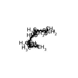 C=C(C)C(=O)OCCCC[N+](C)(C)CC(=O)NCCCC[Si](C)(C)O[Si](C)(C)CCCCC